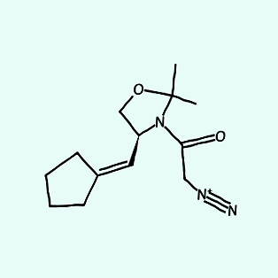 CC1(C)OC[C@H](C=C2CCCC2)N1C(=O)C[N+]#N